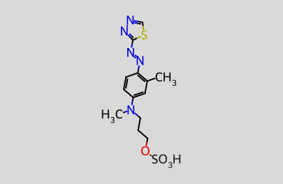 Cc1cc(N(C)CCCOS(=O)(=O)O)ccc1N=Nc1nncs1